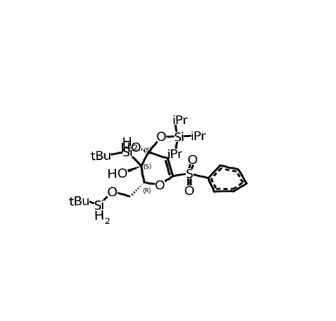 CC(C)[Si](O[C@@]1(O)C=C(S(=O)(=O)c2ccccc2)O[C@H](CO[SiH2]C(C)(C)C)[C@]1(O)[SiH2]C(C)(C)C)(C(C)C)C(C)C